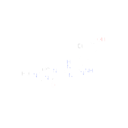 CCCN1Cc2[nH]c(-c3n[nH]c4cc(-c5ccc(O)cc5CC)ccc34)nc2C[C@H]1C(=O)N1CC2CC1CN2C